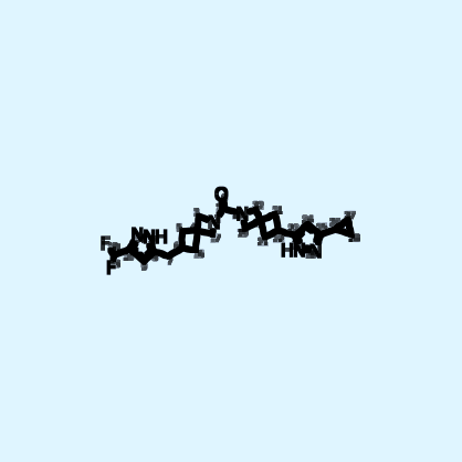 O=C(N1CC2(CC(Cc3cc(C(F)F)n[nH]3)C2)C1)N1CC2(CC(c3cc(C4CC4)n[nH]3)C2)C1